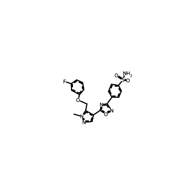 Cn1ncc(-c2nc(-c3ccc(S(N)(=O)=O)cc3)no2)c1COc1cccc(F)c1